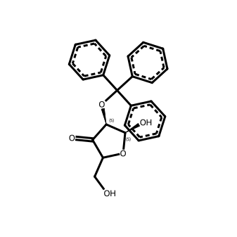 O=C1C(CO)O[C@H](O)[C@@H]1OC(c1ccccc1)(c1ccccc1)c1ccccc1